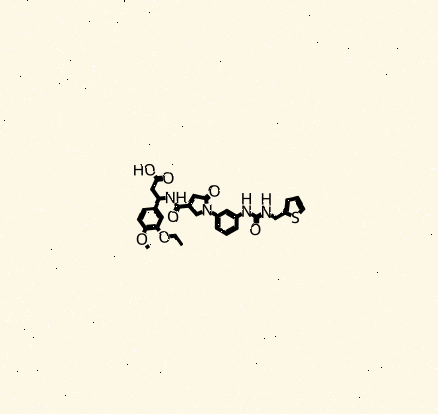 CCOc1cc(C(CC(=O)O)NC(=O)C2CC(=O)N(c3cccc(NC(=O)NCc4cccs4)c3)C2)ccc1OC